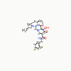 CC(C)CN1CCC(C)N2C(=O)c3c(O)c(=O)c(C(=O)NCc4ccc(F)cc4F)cn3CC12